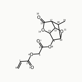 C=CC(=O)OCC(=O)OC1C2OC3C1OC(=O)C3C2C